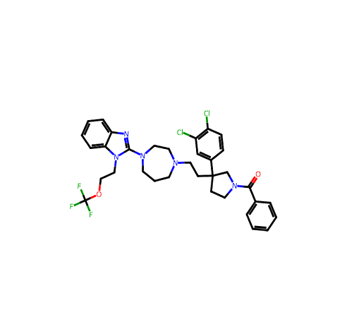 O=C(c1ccccc1)N1CCC(CCN2CCCN(c3nc4ccccc4n3CCOC(F)(F)F)CC2)(c2ccc(Cl)c(Cl)c2)C1